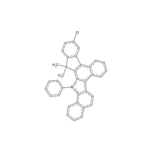 CC1(C)c2ccc(Cl)cc2-c2c1c1c(c3ccccc23)c2ccc3ccccc3c2n1-c1ccccc1